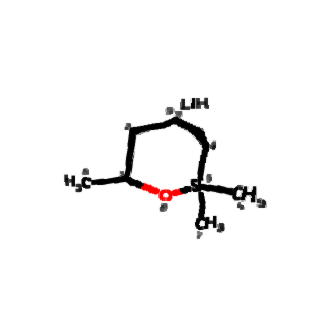 CC1CCC[Si](C)(C)O1.[LiH]